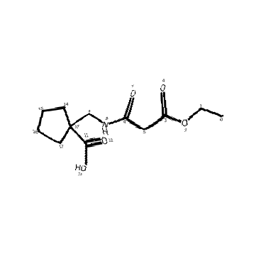 CCOC(=O)CC(=O)NCC1(C(=O)O)CCCC1